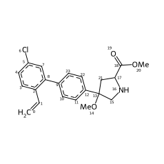 C=Cc1ccc(Cl)cc1-c1ccc(C2(OC)CNC(C(=O)OC)C2)cc1